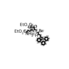 CCOC(=O)CNC(=O)C(C[SH]=CCCCC[P+](c1ccccc1)(c1ccccc1)c1ccccc1)NC(=O)CCC(N)C(=O)OCC.[Br-]